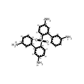 Nc1cccc(-c2cc(N)ccc2S(=O)(=O)c2ccc(N)cc2-c2cccc(N)c2)c1